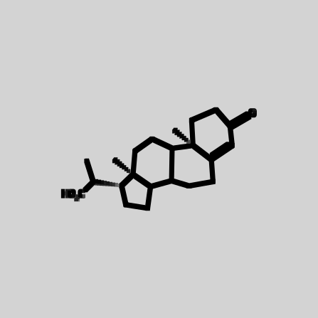 CC(C(=O)O)[C@H]1CCC2C3CCC4=CC(=O)CC[C@]4(C)C3CC[C@@]21C